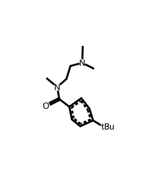 CN(C)CCN(C)C(=O)c1ccc(C(C)(C)C)cc1